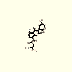 CC(C)C[S+]([O-])Nc1ccc(F)c(C(=O)c2c[nH]c3ncc(Br)cc23)c1F